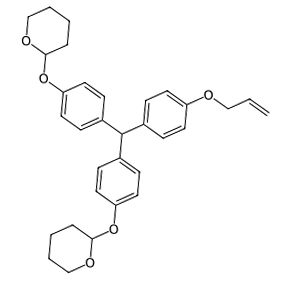 C=CCOc1ccc(C(c2ccc(OC3CCCCO3)cc2)c2ccc(OC3CCCCO3)cc2)cc1